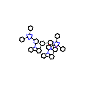 c1ccc(-c2nc(-c3ccccc3)nc(-c3cccc(-n4c5ccccc5c5cccc(-c6cccc(-c7cccc(-c8cccc(-c9cccc%10c%11ccccc%11n(-c%11cccc(-c%12nc(-c%13ccccc%13)nc(-c%13ccccc%13)n%12)n%11)c9%10)c8)c7)c6)c54)n3)n2)cc1